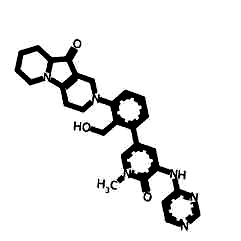 Cn1cc(-c2cccc(N3CCC4=C(C3)C(=O)C3CCCCN43)c2CO)cc(Nc2ccncn2)c1=O